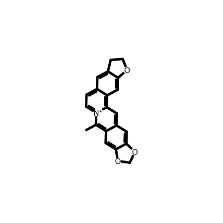 Cc1c2cc3c(cc2cc2c4cc5c(cc4cc[n+]12)CCO5)OCO3